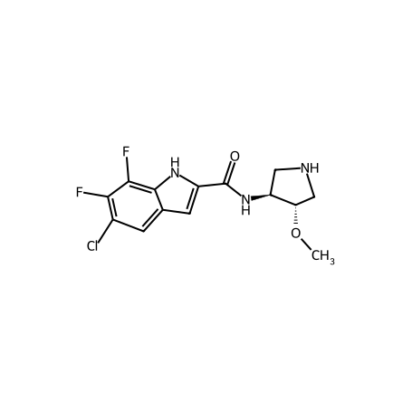 CO[C@H]1CNC[C@@H]1NC(=O)c1cc2cc(Cl)c(F)c(F)c2[nH]1